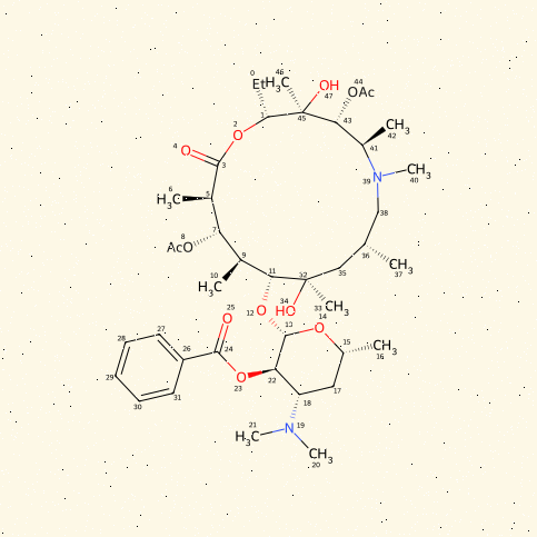 CC[C@H]1OC(=O)[C@H](C)[C@@H](OC(C)=O)[C@H](C)[C@@H](O[C@@H]2O[C@H](C)C[C@H](N(C)C)[C@H]2OC(=O)c2ccccc2)[C@](C)(O)C[C@@H](C)CN(C)[C@H](C)[C@@H](OC(C)=O)[C@]1(C)O